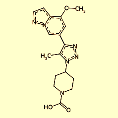 COc1cc(-c2nnn(C3CCN(C(=O)O)CC3)c2C)cn2nccc12